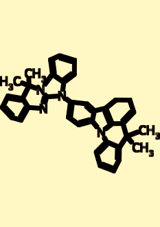 CC1(C)C2=CCCc3c2n(c2ccc(N4C5=Nc6ccccc6C(C)(C)N5c5ccccc54)cc32)-c2ccccc21